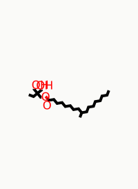 CCCCCCCCC(C)CCCCCCCC(=O)OCC(CC)(CO)CO